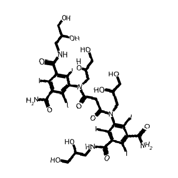 NC(=O)c1c(I)c(C(=O)NCC(O)CO)c(I)c(N(CC(O)CO)C(=O)CC(=O)N(CC(O)CO)c2c(I)c(C(N)=O)c(I)c(C(=O)NCC(O)CO)c2I)c1I